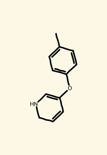 Cc1ccc(OC2=CNCC=C2)cc1